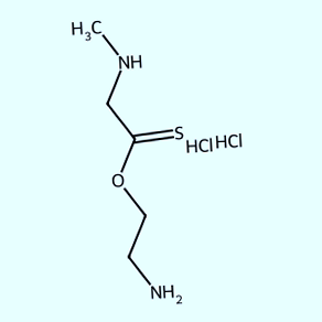 CNCC(=S)OCCN.Cl.Cl